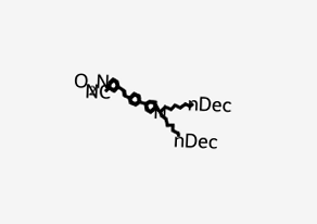 CCCCCCCCCCCCCCCCN(CCCCCCCCCCCCCCCC)c1ccc(-c2ccc(/C=C/c3ccc([N+](=O)[O-])c(C#N)c3)cc2)cc1